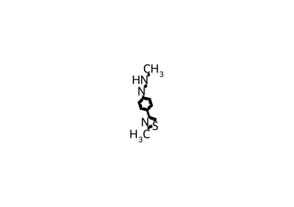 CCN/C=N/c1ccc(-c2csc(C)n2)cc1